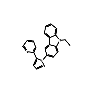 CCn1c2ccccc2c2cc(-n3nccc3-c3ccccn3)ccc21